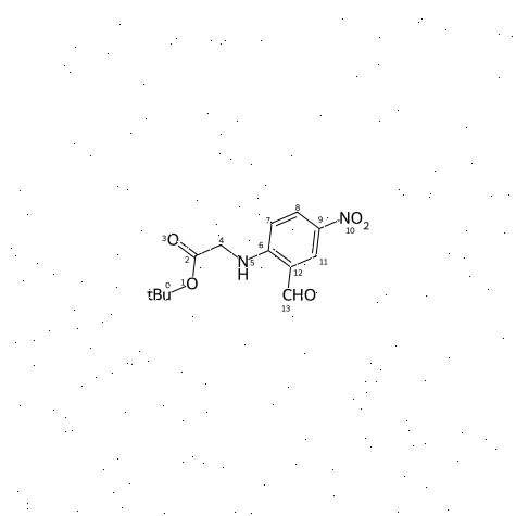 CC(C)(C)OC(=O)CNc1ccc([N+](=O)[O-])cc1C=O